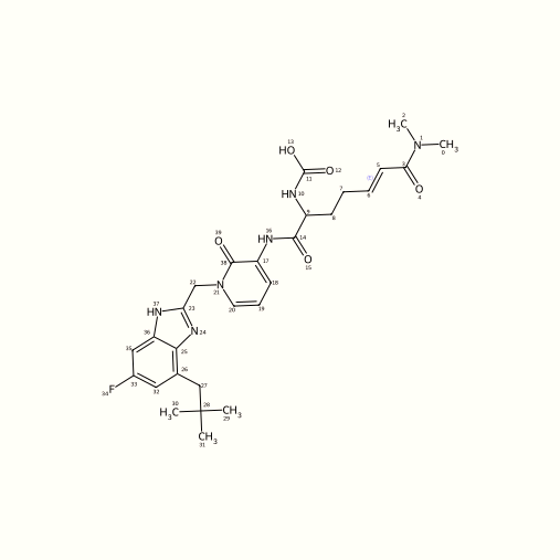 CN(C)C(=O)/C=C/CCC(NC(=O)O)C(=O)Nc1cccn(Cc2nc3c(CC(C)(C)C)cc(F)cc3[nH]2)c1=O